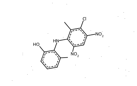 Cc1cccc(O)c1Nc1c([N+](=O)[O-])cc([N+](=O)[O-])c(Cl)c1C